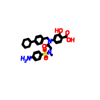 CN(CC(=O)N(Cc1ccc(C2CCCCC2)cc1)c1ccc(C(=O)O)c(O)c1)S(=O)(=O)c1ccc(N)cc1